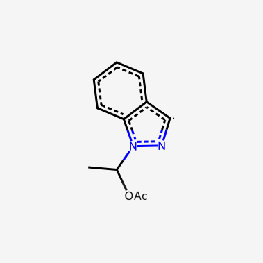 CC(=O)OC(C)n1n[c]c2ccccc21